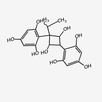 CC(C)C1(c2c(O)cc(O)cc2O)C(O)C(c2c(O)cc(O)cc2O)C1O